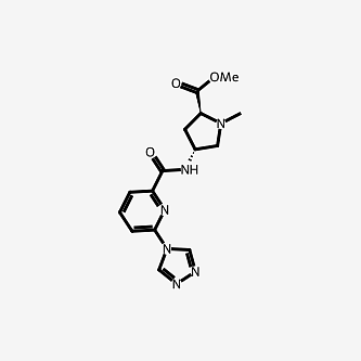 COC(=O)[C@@H]1C[C@@H](NC(=O)c2cccc(-n3cnnc3)n2)CN1C